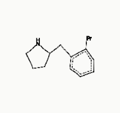 CC(C)c1ccccc1CC1CCCN1